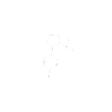 Cc1ccc(C2=CNNC2C(F)(F)F)c(C)c1